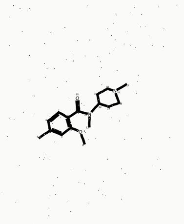 COc1cc(C)ccc1C(=O)N(C)C1CCN(C)CC1